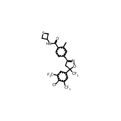 Cc1cc(C2=NOC(c3cc(C(F)(F)F)c(Cl)c(C(F)(F)F)c3)(C(F)(F)F)C2)ccc1C(=O)NC1CSC1